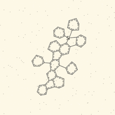 c1ccc(-c2c3cc4c5ccccc5c5cccc(c3c(-c3ccccc3)c3c6cc7c(c8cccc(c23)c86)[Si](c2ccccc2)(c2ccccc2)c2ccccc2-7)c54)cc1